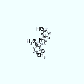 CN1CCc2c(c3ccc(N4CCC[C@H](O)C4)nc3n2C)C1=O